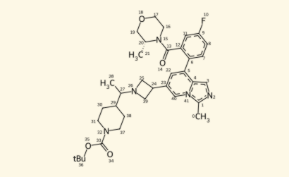 Cc1ncc2c(-c3ccc(F)cc3C(=O)N3CCOC[C@H]3C)cc(C3CN(C(C)C4CCN(C(=O)OC(C)(C)C)CC4)C3)cn12